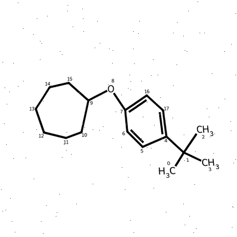 CC(C)(C)c1ccc(OC2CCCCCC2)cc1